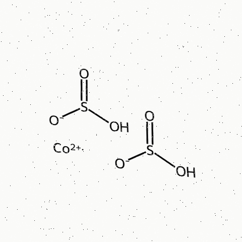 O=S([O-])O.O=S([O-])O.[Co+2]